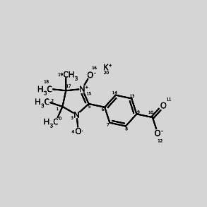 CC1(C)N([O])C(c2ccc(C(=O)[O-])cc2)=[N+]([O-])C1(C)C.[K+]